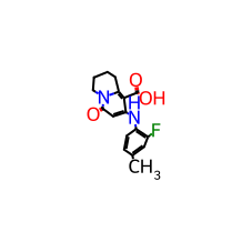 Cc1ccc(Nc2cc(=O)n3c(c2C(=O)O)CCCC3)c(F)c1